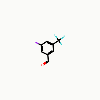 O=[C]c1cc(I)cc(C(F)(F)F)c1